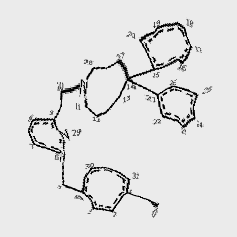 Cc1ccc(Cn2ccc(CN3CCC(c4ccccc4)(c4ccccc4)CC3)n2)cc1